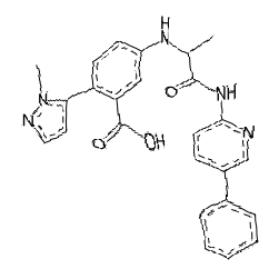 CC(Nc1ccc(-c2ccnn2C)c(C(=O)O)c1)C(=O)Nc1ccc(-c2ccccc2)cn1